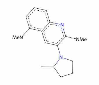 CNc1nc2cccc(NC)c2cc1N1CCCC1C